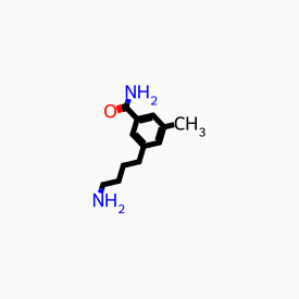 Cc1cc(CCCCN)cc(C(N)=O)c1